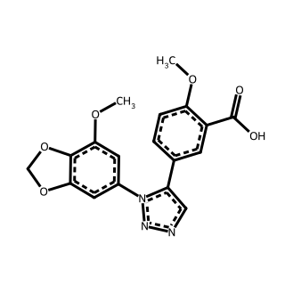 COc1ccc(-c2cnnn2-c2cc(OC)c3c(c2)OCO3)cc1C(=O)O